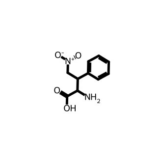 NC(C(=O)O)C(C[N+](=O)[O-])c1ccccc1